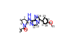 C=CC(=O)N1CCCC(Nc2nccn3c(-c4ccc(OC)cc4)cnc23)C1